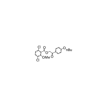 CCCCOc1ccc(C(=O)COC(=O)c2c(Cl)ccc(Cl)c2OC)cc1